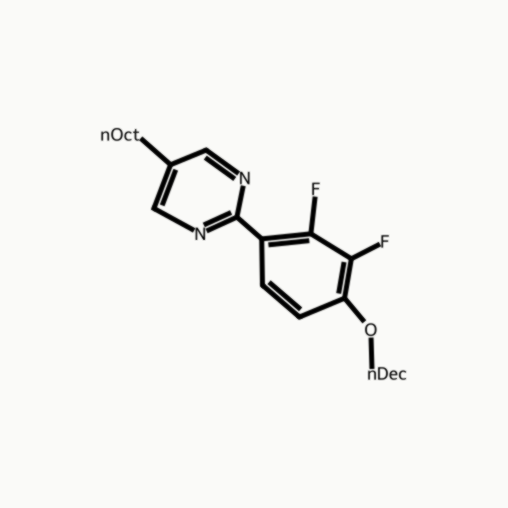 CCCCCCCCCCOc1ccc(-c2ncc(CCCCCCCC)cn2)c(F)c1F